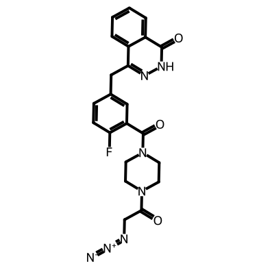 [N-]=[N+]=NCC(=O)N1CCN(C(=O)c2cc(Cc3n[nH]c(=O)c4ccccc34)ccc2F)CC1